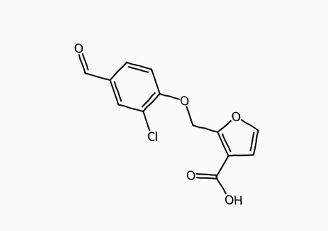 O=Cc1ccc(OCc2occc2C(=O)O)c(Cl)c1